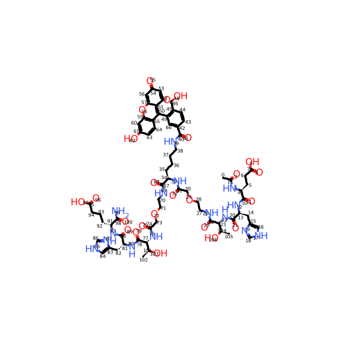 CC(=O)N[C@@H](CCC(=O)O)C(=O)N[C@@H](Cc1c[nH]cn1)C(=O)N[C@H](C(=O)NCCOCC(=O)N[C@H](CCCCNC(=O)c1ccc(C(=O)O)c(-c2c3ccc(=O)cc-3oc3cc(O)ccc23)c1)C(=O)NCCOCC(=O)N[C@@H](C(=O)N[C@H](Cc1c[nH]cn1)C(=O)N[C@H](CCCC(=O)O)C(N)=O)[C@H](C)O)[C@@H](C)O